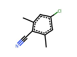 Cc1cc(Cl)cc(C)c1C#N